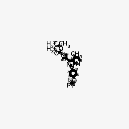 Cc1ccnc2c1c(C1CN(C(=O)OC(C)(C)C)C1)nn2-c1ccc(OC(F)(F)F)cc1